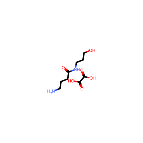 NCCCC(=O)NCCCO.O=C(O)C(=O)O